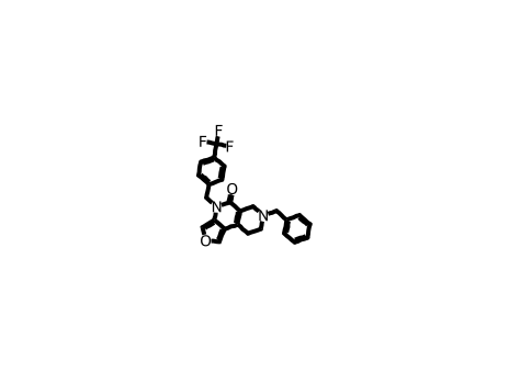 O=c1c2c(c3cocc3n1Cc1ccc(C(F)(F)F)cc1)CCN(Cc1ccccc1)C2